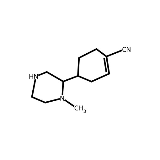 CN1CCNCC1C1CC=C(C#N)CC1